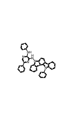 c1ccc(Nc2ncc(-c3ccccc3)nc2Nn2c3ccccc3c3c2ccc2c4ccccc4n(-c4ccccc4)c23)cc1